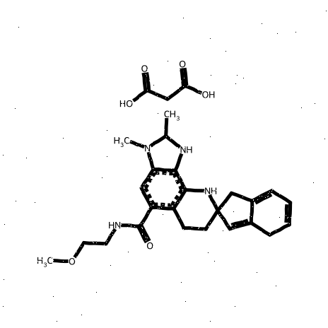 COCCNC(=O)c1cc2c(c3c1CCC1(C=C4CC=CC=C4C1)N3)NC(C)N2C.O=C(O)CC(=O)O